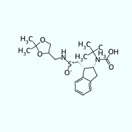 CC1(C)OCC(CN[S+]([O-])C[C@H]2c3ccccc3C[C@H]2N(C(=O)O)C(C)(C)C)O1